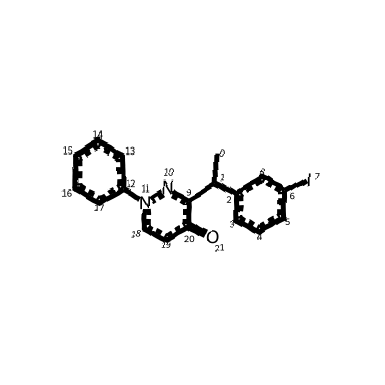 CC(c1cccc(I)c1)c1nn(-c2ccccc2)ccc1=O